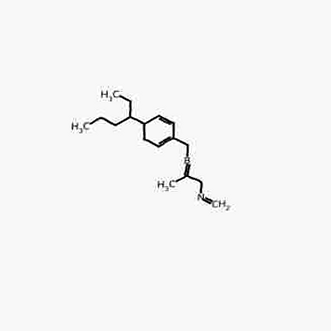 C=NC/C(C)=B\CC1=CCC(C(CC)CCC)C=C1